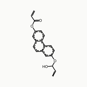 C=CC(=O)Oc1ccc2c(ccc3cc(OC(O)C=C)ccc32)c1